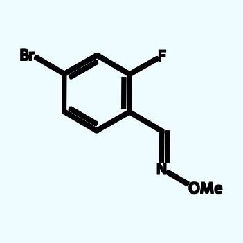 CON=Cc1ccc(Br)cc1F